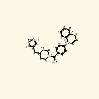 O=C(c1ccc(N2C=CCc3ccccc32)cc1)N1CCN(Cc2cn[nH]c2)CC1